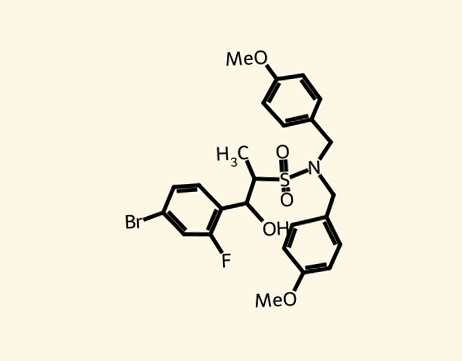 COc1ccc(CN(Cc2ccc(OC)cc2)S(=O)(=O)C(C)C(O)c2ccc(Br)cc2F)cc1